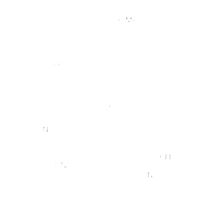 COc1ccc(O)c(C(=O)c2cnc3[nH]c4ccc(N(C)C)cc4c3c2)c1